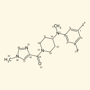 CN(c1cc(F)cc(I)c1)C1CCN(C(=O)c2cn(C)cn2)CC1